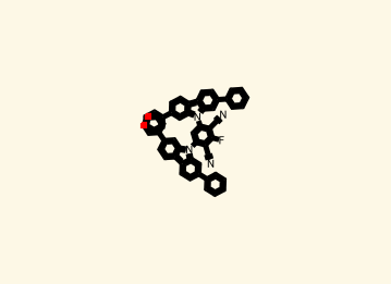 N#Cc1c(-n2c3cc(-c4ccccc4)ccc3c3ccc(-c4ccccc4)cc32)cc(-n2c3cc(-c4ccccc4)ccc3c3ccc(-c4ccccc4)cc32)c(C#N)c1F